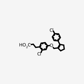 O=C(O)CCc1ccc(OCC2=C(c3ccc(Cl)cc3)CCC2)cc1Cl